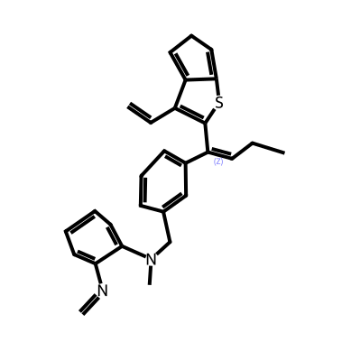 C=Cc1c(/C(=C\CC)c2cccc(CN(C)c3ccccc3N=C)c2)sc2c1=CCC=2